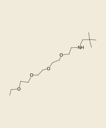 CCOCCOCCOCCOCCNCC(C)(C)C